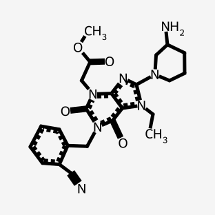 CCn1c(N2CCCC(N)C2)nc2c1c(=O)n(Cc1ccccc1C#N)c(=O)n2CC(=O)OC